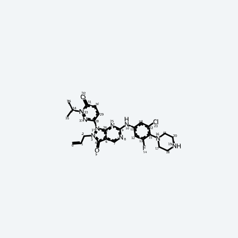 C=CCn1c(=O)c2cnc(Nc3cc(F)c(N4CCNCC4)c(Cl)c3)nc2n1-c1ccc(=O)n(C(C)C)n1